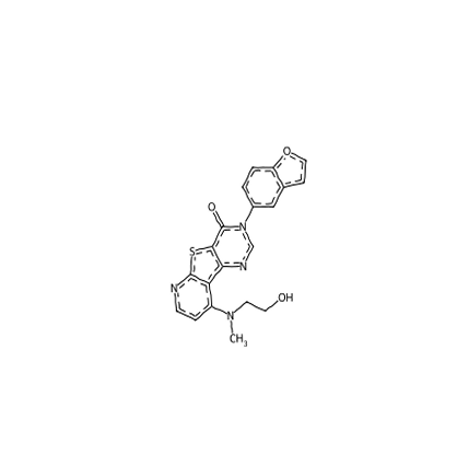 CN(CCO)c1ccnc2sc3c(=O)n(-c4ccc5occc5c4)cnc3c12